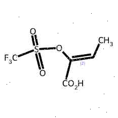 C/C=C(\OS(=O)(=O)C(F)(F)F)C(=O)O